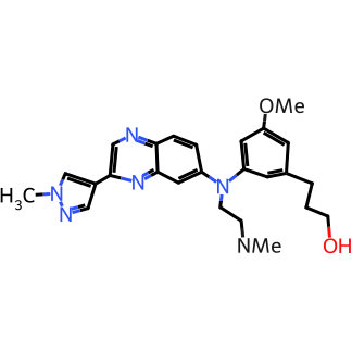 CNCCN(c1cc(CCCO)cc(OC)c1)c1ccc2ncc(-c3cnn(C)c3)nc2c1